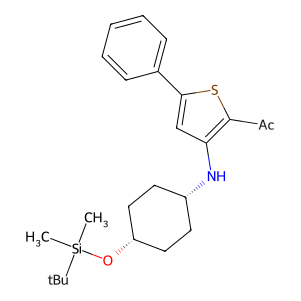 CC(=O)c1sc(-c2ccccc2)cc1N[C@H]1CC[C@@H](O[Si](C)(C)C(C)(C)C)CC1